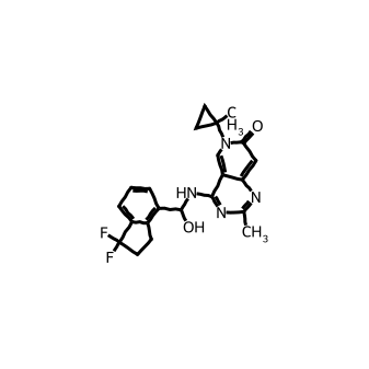 Cc1nc(NC(O)c2cccc3c2CCC3(F)F)c2cn(C3(C)CC3)c(=O)cc2n1